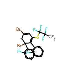 Fc1ccccc1C1=C(SC(F)(F)C(F)(F)C(F)(F)F)C=C(Br)[CH]C1(Br)c1ccccc1F